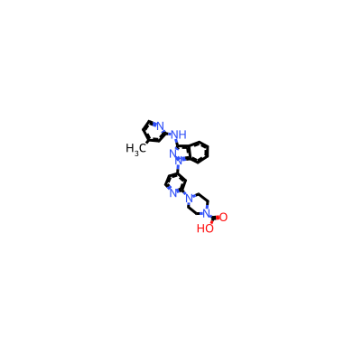 Cc1ccnc(Nc2nn(-c3ccnc(N4CCN(C(=O)O)CC4)c3)c3ccccc23)c1